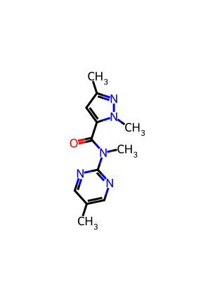 Cc1cnc(N(C)C(=O)c2cc(C)nn2C)nc1